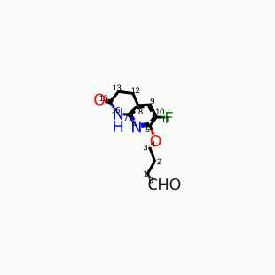 O=CCCCOc1nc2c(cc1F)CCC(=O)N2